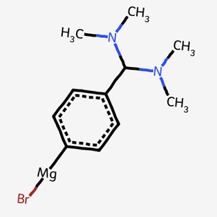 CN(C)C(c1cc[c]([Mg][Br])cc1)N(C)C